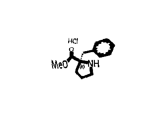 COC(=O)[C@]1(Cc2ccccc2)CCCN1.Cl